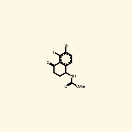 COC(=O)NC1CCC(=O)c2c1ccc(Br)c2F